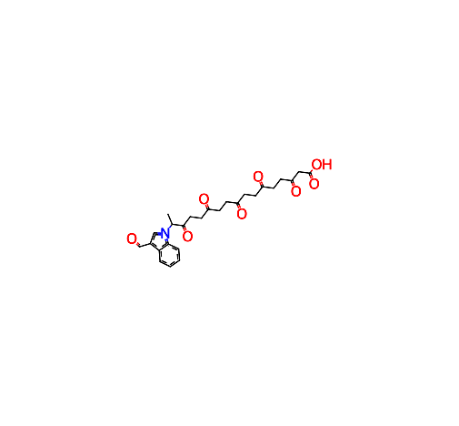 CC(C(=O)CCC(=O)CCC(=O)CCC(=O)CCC(=O)CC(=O)O)n1cc(C=O)c2ccccc21